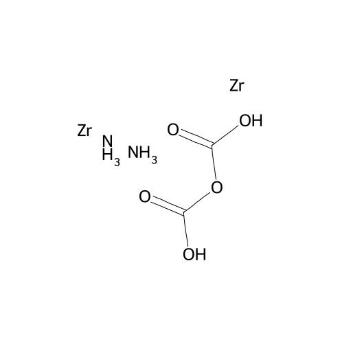 N.N.O=C(O)OC(=O)O.[Zr].[Zr]